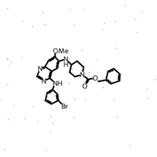 COc1cc2ncnc(Nc3cccc(Br)c3)c2cc1NC1CCN(C(=O)OCc2ccccc2)CC1